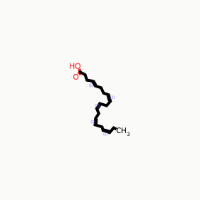 CC/C=C\C/C=C\C/C=C\C/C=C\CC/C=C/CCC(=O)O